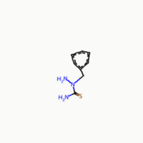 NC(=S)N(N)Cc1ccccc1